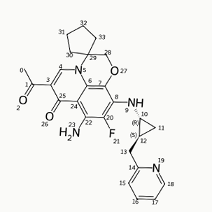 CC(=O)c1cn2c3c(c(N[C@@H]4C[C@H]4Cc4ccccn4)c(F)c(N)c3c1=O)OCC21CCCC1